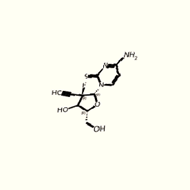 C#C[C@@]1(F)C(O)[C@@H](CO)O[C@H]1n1ccc(N)nc1=S